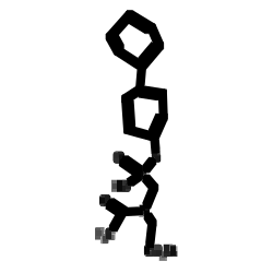 CCOC(=O)CN(CP(=O)(O)Sc1ccc(-c2ccccc2)cc1)C(=O)C(F)(F)F